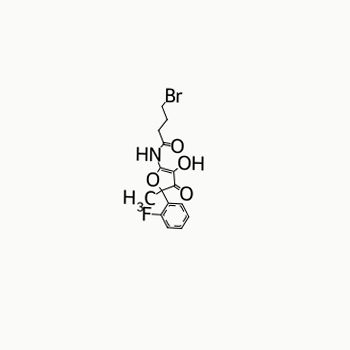 CC1(c2ccccc2F)OC(NC(=O)CCCBr)=C(O)C1=O